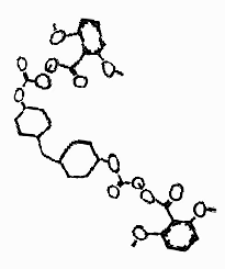 COc1cccc(OC)c1C(=O)OOC(=O)OC1CCC(CC2CCC(OC(=O)OOC(=O)c3c(OC)cccc3OC)CC2)CC1